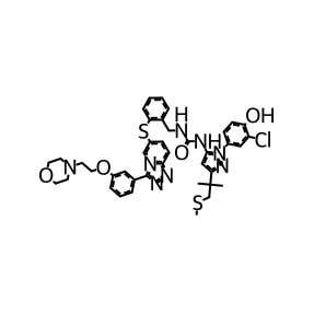 CSCC(C)(C)c1cc(NC(=O)NCc2ccccc2Sc2ccc3nnc(-c4cccc(OCCN5CCOCC5)c4)n3c2)n(-c2ccc(O)c(Cl)c2)n1